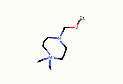 [CH2]COCN1CC[N+](C)(C)CC1